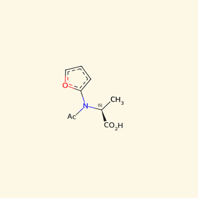 CC(=O)N(c1ccco1)[C@@H](C)C(=O)O